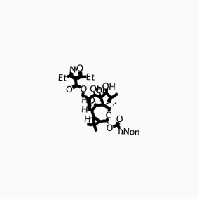 CCCCCCCCCC(=O)O[C@H]1C[C@@H](C)[C@]23C=C(C)[C@H](O)[C@@]2(O)[C@H](O)C(COC(=O)c2c(CC)noc2CC)=C[C@H](C3O)[C@H]2C1C2(C)C